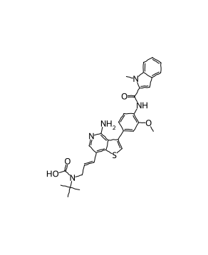 COc1cc(-c2csc3c(C=CCN(C(=O)O)C(C)(C)C)cnc(N)c23)ccc1NC(=O)c1cc2ccccc2n1C